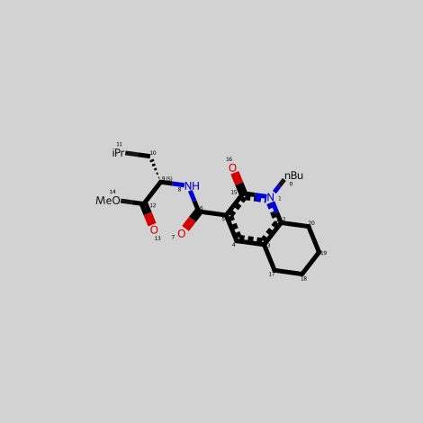 CCCCn1c2c(cc(C(=O)N[C@@H](CC(C)C)C(=O)OC)c1=O)CCCC2